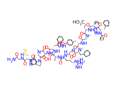 CCC(=O)N[C@@H](Cc1ccccc1)C(=O)N[C@H](C(=O)N[C@@H](CCC(=O)O)C(=O)N(C)CC(=O)N[C@@H](Cc1ccc(O)cc1)C(=O)N(C)[C@@H](Cc1ccccc1)C(=O)N(C)CC(=O)N[C@@H](CCCNC(=N)N)C(=O)N[C@@H](C)C(=O)N[C@@H](Cc1c[nH]c2ccccc12)C(=O)N[C@H](C(=O)N(C)[C@@H](Cc1ccccc1)C(=O)N1CCC[C@H]1C(=O)N[C@@H](CS)C(=O)NCC(N)=O)[C@@H](C)O)C(C)C